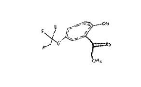 CC(=O)c1cc(OC(F)(F)F)ccc1O